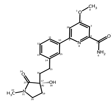 COc1cc(C(N)=O)nc(-c2cccc(CC[C@@]3(O)CCN(C)C3=O)c2)c1